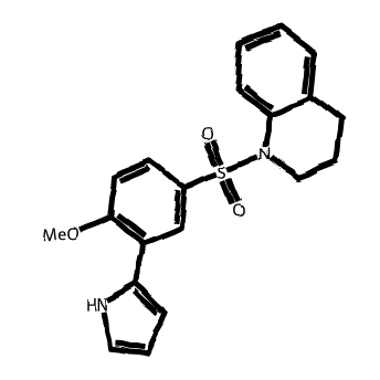 COc1ccc(S(=O)(=O)N2CCCc3ccccc32)cc1-c1ccc[nH]1